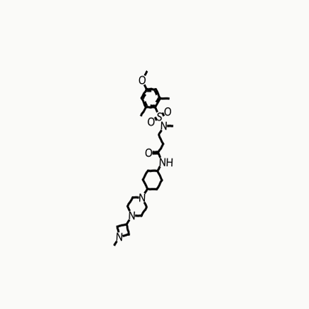 COc1cc(C)c(S(=O)(=O)N(C)CCC(=O)NC2CCC(N3CCN(C4CN(C)C4)CC3)CC2)c(C)c1